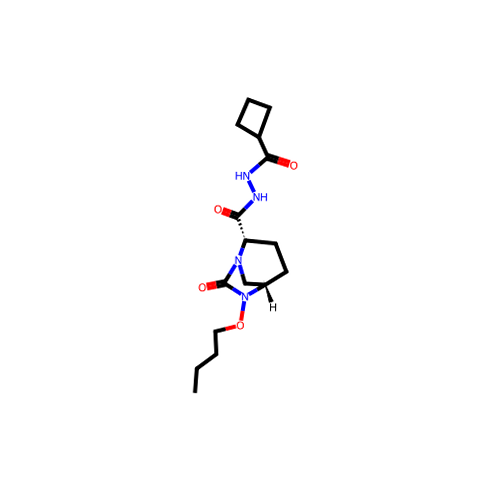 CCCCON1C(=O)N2C[C@@H]1CC[C@H]2C(=O)NNC(=O)C1CCC1